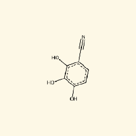 N#Cc1ccc(O)c(O)c1O